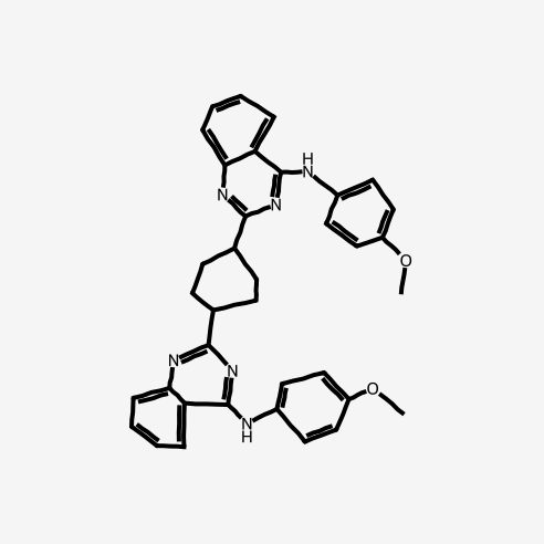 COc1ccc(Nc2nc(C3CCC(c4nc(Nc5ccc(OC)cc5)c5ccccc5n4)CC3)nc3ccccc23)cc1